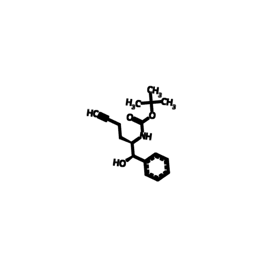 C#CCC[C@@H](NC(=O)OC(C)(C)C)[C@H](O)c1ccccc1